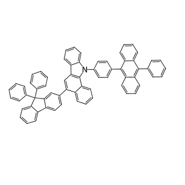 c1ccc(-c2c3ccccc3c(-c3ccc(-n4c5ccccc5c5cc(-c6ccc7c(c6)C(c6ccccc6)(c6ccccc6)c6ccccc6-7)c6ccccc6c54)cc3)c3ccccc23)cc1